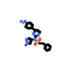 Cn1cc(N(c2nccc(-c3ccc(N)cc3)n2)S(=O)(=O)CCc2ccccc2)cn1